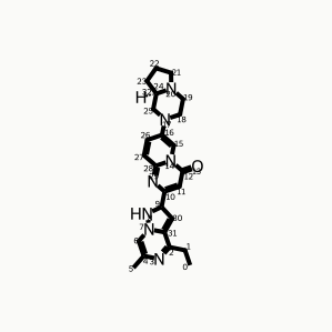 CCC1=NC(C)=CN2NC(c3cc(=O)n4cc(N5CCN6CCC[C@@H]6C5)ccc4n3)C=C12